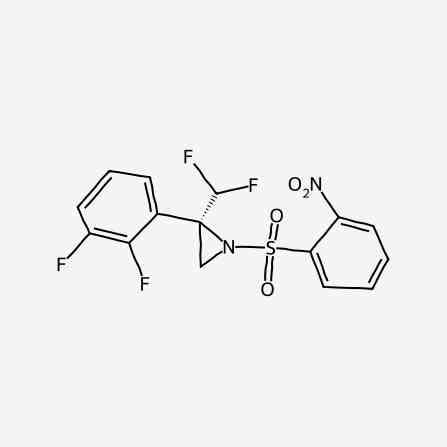 O=[N+]([O-])c1ccccc1S(=O)(=O)N1C[C@]1(c1cccc(F)c1F)C(F)F